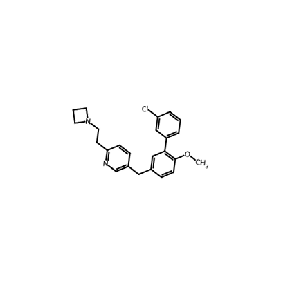 COc1ccc(Cc2ccc(CCN3CCC3)nc2)cc1-c1cccc(Cl)c1